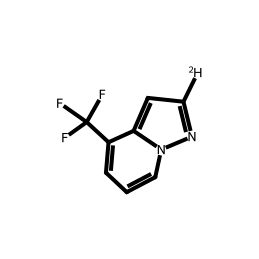 [2H]c1cc2c(C(F)(F)F)cccn2n1